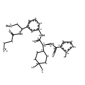 COCC(NC(=O)CCC(F)(F)F)c1ccnc(NC(=O)[C@@H](NC(=O)c2ccnn2C)C2CCC(F)(F)CC2)c1